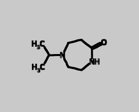 CC(C)N1CCNC(=O)CC1